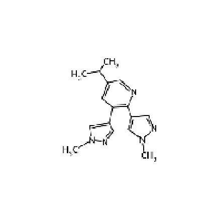 CC(C)c1cnc(-c2cnn(C)c2)c(-c2cnn(C)c2)c1